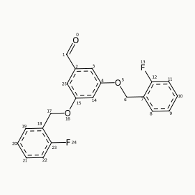 O=Cc1cc(OCc2ccccc2F)cc(OCc2ccccc2F)c1